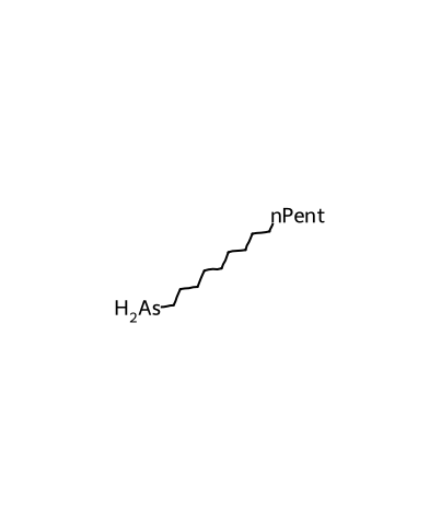 CCCCCCCCCCCCCC[AsH2]